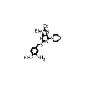 CCOc1ccc(CSc2nc(N3CCOCC3)c3nc(CC)n(CC)c3n2)cc1N